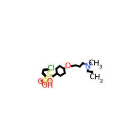 C=CCN(C)CCCCOC1CCC([CH][SH]2C(Cl)=CC=C2S(=O)(=O)O)CC1